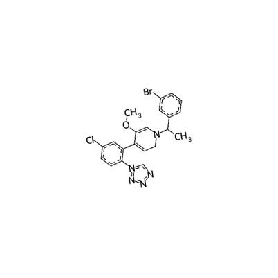 COC1=CN(C(C)c2cccc(Br)c2)CC=C1c1cc(Cl)ccc1-n1cnnn1